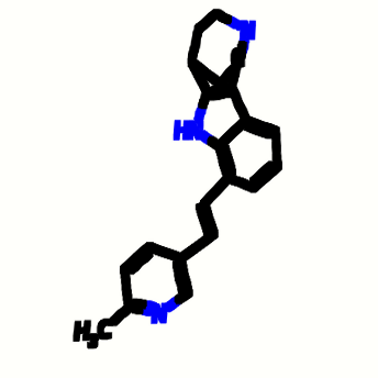 Cc1ccc(C=Cc2cccc3c4c([nH]c23)C2CCN(CC2)C4)cn1